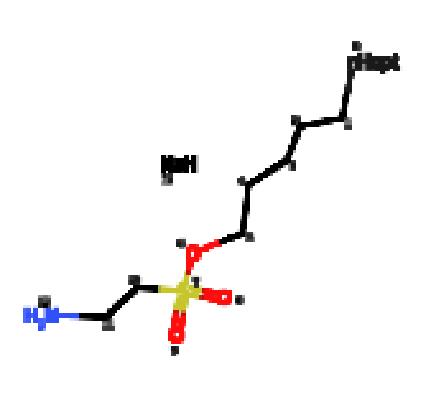 CCCCCCCCCCCCOS(=O)(=O)CCN.[NaH]